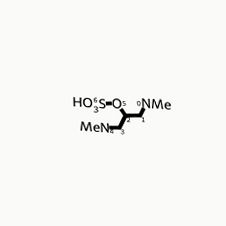 CNCC(CNC)OS(=O)(=O)O